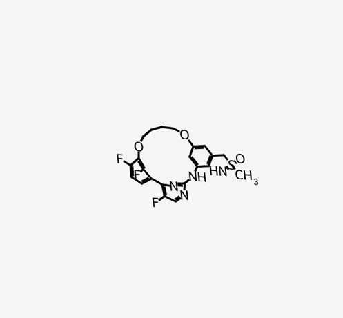 CS(=N)(=O)Cc1cc2cc(c1)OCCCCOc1c(F)ccc(c1F)-c1nc(ncc1F)N2